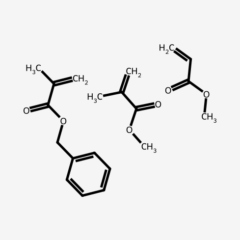 C=C(C)C(=O)OC.C=C(C)C(=O)OCc1ccccc1.C=CC(=O)OC